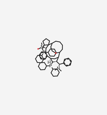 C[C@H](C1CCCC12C1CCCCC(CCC1)C1C[C@H](c3ccccc3[C@H]2N(C)C)C(P(C2CCCCC2)C2CCCCC2)[C@@H]1[C@@H](c1ccccc1)N(C)C)P(C1CCCCC1)C1CCCCC1